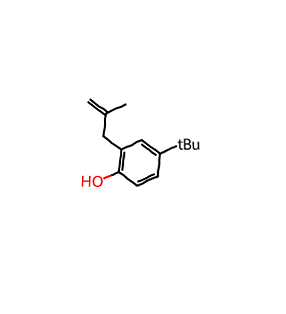 C=C(C)Cc1cc(C(C)(C)C)ccc1O